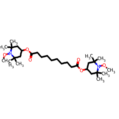 CON1C(C)(C)CC(OC(=O)CCCCCCCCC(=O)OC2CC(C)(C)N(OC)C(C)(C)C2)CC1(C)C